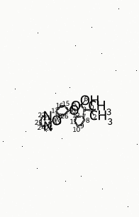 CC(C)=C(C(=O)O)c1ccccc1Oc1cccc(Oc2ncccn2)c1